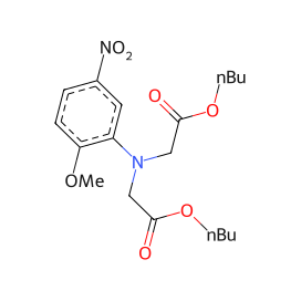 CCCCOC(=O)CN(CC(=O)OCCCC)c1cc([N+](=O)[O-])ccc1OC